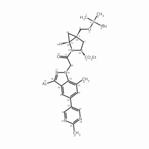 CCOC(=O)[C@@H]1C[C@@]2(CO[Si](C)(C)C(C)(C)C)C[C@H]2N1C(=O)Cn1nc(C(C)=O)c2cc(-c3cnc(C)nc3)cc(C)c21